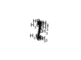 COC(OC)/C(C)=C/C=C/C=C(C)/C=C/C=C(\C)C=CC1C(C)=CC(O)CC1(C)C